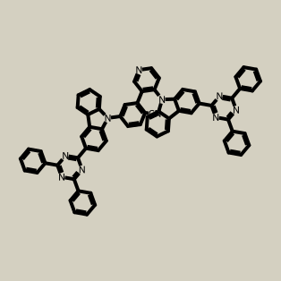 N#Cc1ccc(-n2c3ccccc3c3cc(-c4nc(-c5ccccc5)nc(-c5ccccc5)n4)ccc32)cc1-c1cnccc1-n1c2ccccc2c2cc(-c3nc(-c4ccccc4)nc(-c4ccccc4)n3)ccc21